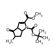 COC(=O)C1=CC2C(=O)C(C)CC2N1C(=O)OC(C)(C)C